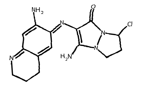 NC1=CC2=NCCCC2=C/C1=N\c1c(N)n2n(c1=O)C(Cl)CC2